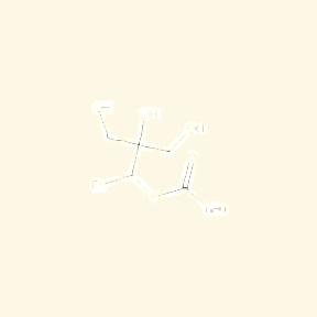 CCCCC(=O)OC(CC)C(O)(CO)CO